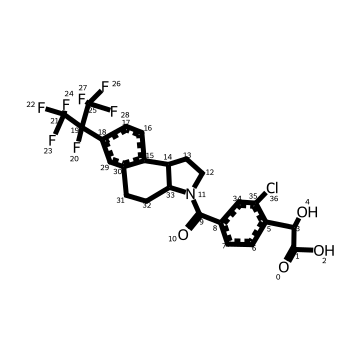 O=C(O)C(O)c1ccc(C(=O)N2CCC3c4ccc(C(F)(C(F)(F)F)C(F)(F)F)cc4CCC32)cc1Cl